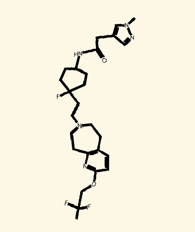 Cn1cc(CC(=O)NC2CCC(F)(CCN3CCc4ccc(OCC(C)(F)F)nc4CC3)CC2)cn1